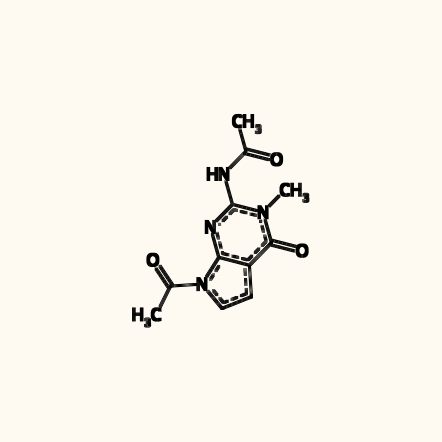 CC(=O)Nc1nc2c(ccn2C(C)=O)c(=O)n1C